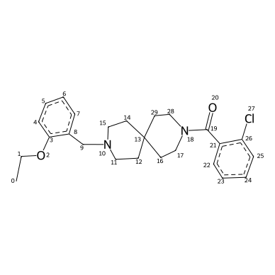 CCOc1ccccc1CN1CCC2(CC1)CCN(C(=O)c1ccccc1Cl)CC2